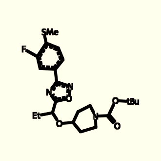 CCC(OC1CCN(C(=O)OC(C)(C)C)CC1)c1nc(-c2ccc(SC)c(F)c2)no1